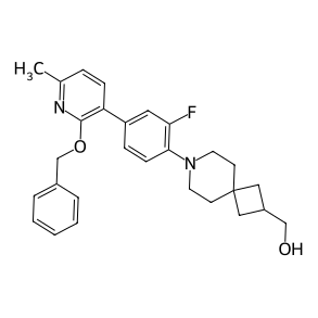 Cc1ccc(-c2ccc(N3CCC4(CC3)CC(CO)C4)c(F)c2)c(OCc2ccccc2)n1